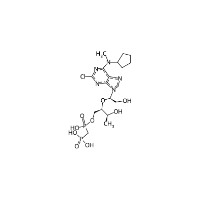 C[C@H](O)[C@@H](COP(=O)(O)CP(=O)(O)O)O[C@H](CO)n1cnc2c(N(C)C3CCCC3)nc(Cl)nc21